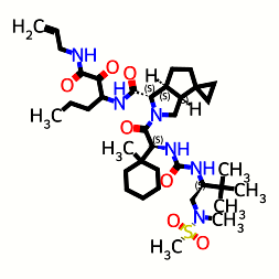 C=CCNC(=O)C(=O)C(CCC)NC(=O)[C@@H]1[C@H]2CCC3(CC3)[C@H]2CN1C(=O)[C@@H](NC(=O)N[C@H](CN(C)S(C)(=O)=O)C(C)(C)C)C1(C)CCCCC1